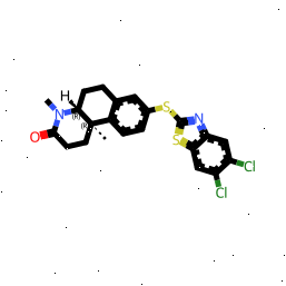 CN1C(=O)CC[C@]2(C)c3ccc(Sc4nc5cc(Cl)c(Cl)cc5s4)cc3CC[C@@H]12